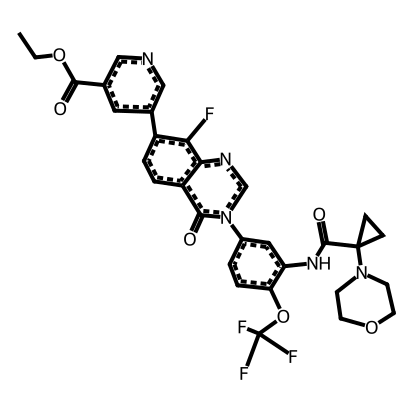 CCOC(=O)c1cncc(-c2ccc3c(=O)n(-c4ccc(OC(F)(F)F)c(NC(=O)C5(N6CCOCC6)CC5)c4)cnc3c2F)c1